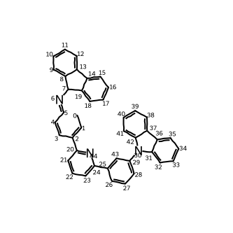 C\C=C(/C=C\C=N\C1c2ccccc2-c2ccccc21)c1cccc(-c2cccc(-n3c4ccccc4c4ccccc43)c2)n1